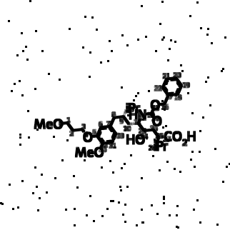 COCCCOc1cc(C[C@@H](C[C@H](NC(=O)OCc2ccccc2)[C@@H](O)C[C@H](C(=O)O)C(C)C)C(C)C)ccc1OC